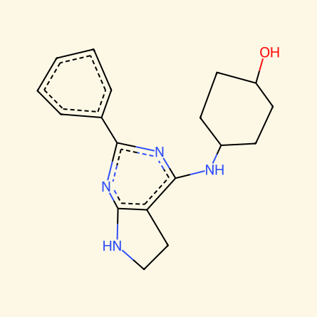 OC1CCC(Nc2nc(-c3ccccc3)nc3c2CCN3)CC1